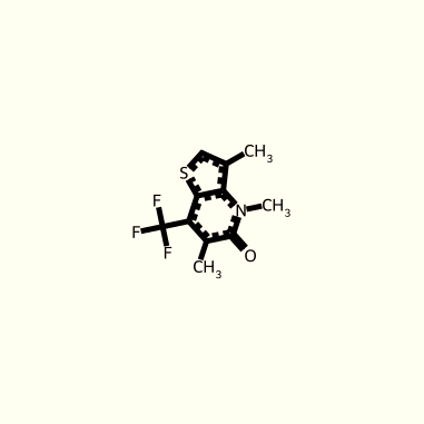 Cc1c(C(F)(F)F)c2scc(C)c2n(C)c1=O